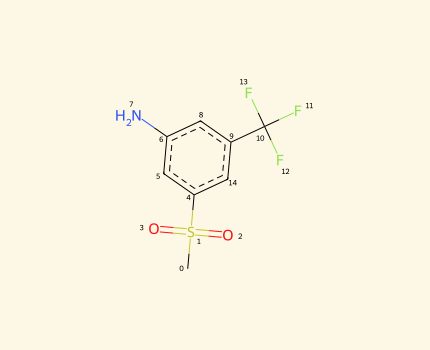 CS(=O)(=O)c1cc(N)cc(C(F)(F)F)c1